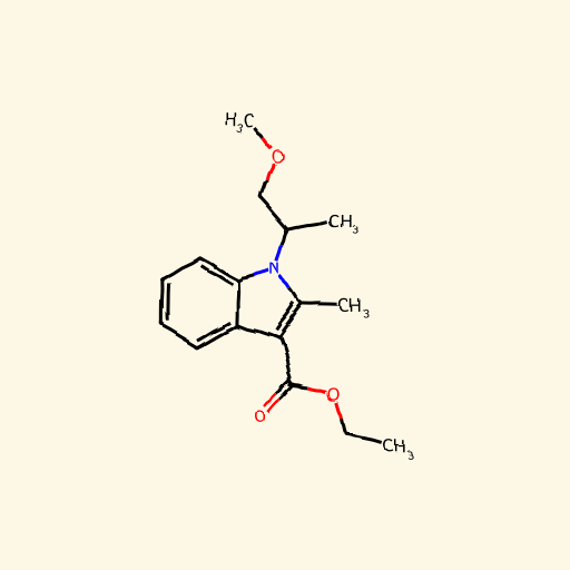 CCOC(=O)c1c(C)n(C(C)COC)c2ccccc12